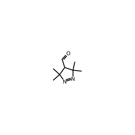 CC1(C)N=NC(C)(C)C1C=O